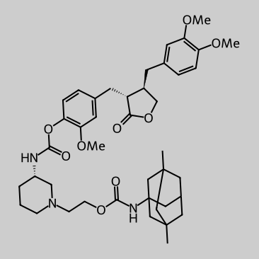 COc1ccc(C[C@H]2COC(=O)[C@@H]2Cc2ccc(OC(=O)N[C@H]3CCCN(CCOC(=O)NC45CC6CC(C)(CC(C)(C6)C4)C5)C3)c(OC)c2)cc1OC